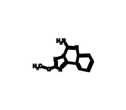 COc1nc2c3ccccc3nc(N)n2n1